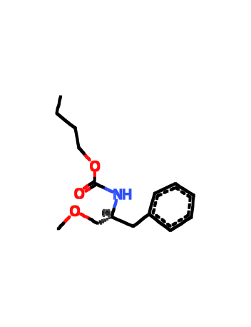 CCCCOC(=O)N[C@@H](COC)Cc1ccccc1